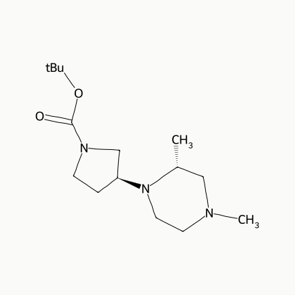 C[C@@H]1CN(C)CCN1[C@H]1CCN(C(=O)OC(C)(C)C)C1